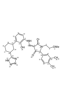 COCCN1C(=O)C(=NNc2cccc(C3CCCC(c4nnn[nH]4)C3)c2O)C(=O)C1c1ccc(C)c(C)c1